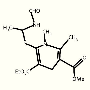 CCOC(=O)C1=C(SC(C)NC=O)N(C)C(C)=C(C(=O)OC)C1